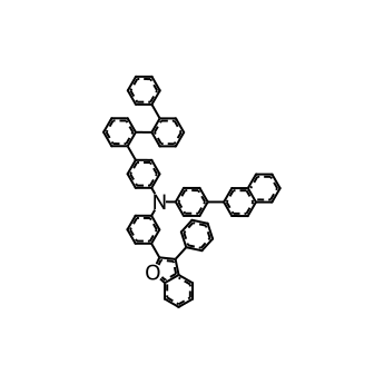 c1ccc(-c2ccccc2-c2ccccc2-c2ccc(N(c3ccc(-c4ccc5ccccc5c4)cc3)c3cccc(-c4oc5ccccc5c4-c4ccccc4)c3)cc2)cc1